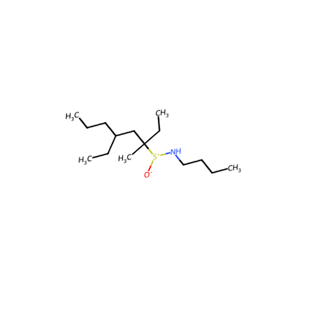 CCCCN[S+]([O-])C(C)(CC)CC(CC)CCC